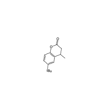 CC1CC(=O)Oc2ccc(C(C)(C)C)cc21